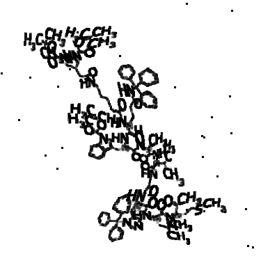 CSCC[C@H](NC(=O)[C@H](CC(C)C)NC(=O)[C@H](Cc1cncn1C(c1ccccc1)(c1ccccc1)c1ccccc1)NC(=O)CNC(=O)[C@@H](NC(=O)[C@H](C)NC(=O)[C@H](Cc1cn(C(=O)OC(C)(C)C)c2ccccc12)NC(=O)[C@H](CCC(=O)NC(c1ccccc1)(c1ccccc1)c1ccccc1)NC(=O)CCCCNC(=O)CC(CNC(=O)OC(C)(C)C)CNC(=O)OC(C)(C)C)C(C)C)C(C)=O